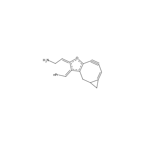 CCC/C=c1/c2c(o/c1=C/CN)C#C/C=C1/CC1C2